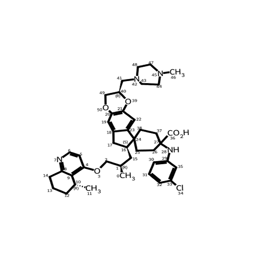 C[C@@H](COc1ccnc2c1[C@H](C)CCC2)C[C@H]1Cc2cc3c(cc2C12CCC(Nc1cccc(Cl)c1)(C(=O)O)CC2)O[C@H](CN1CCN(C)CC1)CO3